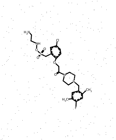 Cc1cc(CN2CCN(C(=O)COc3ccc(Cl)cc3CS(=O)(=O)ONCCN)CC2)c(C)cc1F